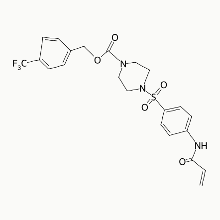 C=CC(=O)Nc1ccc(S(=O)(=O)N2CCN(C(=O)OCc3ccc(C(F)(F)F)cc3)CC2)cc1